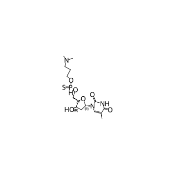 Cc1cn([C@H]2C[C@@H](O)[C@@H](CO[PH](=S)OCCCN(C)C)O2)c(=O)[nH]c1=O